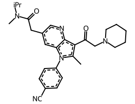 Cc1c(C(=O)CN2CCCCC2)c2ncc(CC(=O)N(C)C(C)C)cc2n1-c1ccc(C#N)cc1